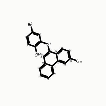 Nc1ccc(Br)cc1Sc1cc2ccccc2c2cc(Cl)ccc12